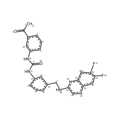 CC(=O)c1cccc(NC(=O)Nc2cccc(CNc3cnc4cc(F)c(F)cc4n3)c2)c1